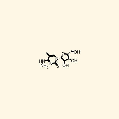 Cc1cn([C@@H]2O[C@H](CO)[C@@H](O)[C@H]2O)c(=S)nc1NN